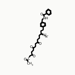 CC(=O)CCC(=O)CCC(=O)CCC(=O)CCCC(CCc1ccc(CNC(=O)c2ccccc2)cc1)=[N+]=[N-]